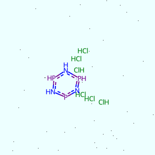 Cl.Cl.Cl.Cl.Cl.Cl.n1p[nH][pH][nH][pH]1